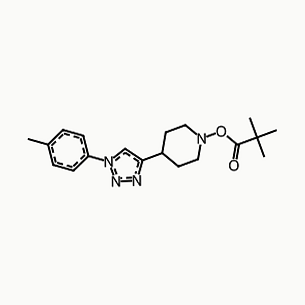 Cc1ccc(-n2cc(C3CCN(OC(=O)C(C)(C)C)CC3)nn2)cc1